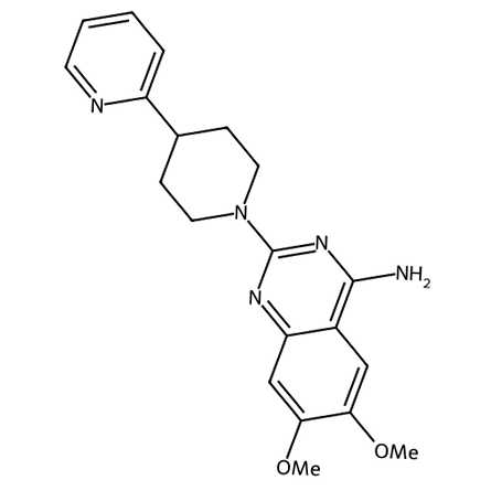 COc1cc2nc(N3CCC(c4ccccn4)CC3)nc(N)c2cc1OC